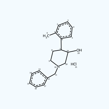 Cc1ccccc1C1CCN(Cc2ccccc2)CC1O.Cl